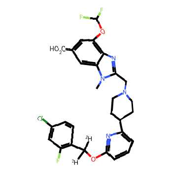 [2H]C([2H])(Oc1cccc(C2CCN(Cc3nc4c(OC(F)F)cc(C(=O)O)cc4n3C)CC2)n1)c1ccc(Cl)cc1F